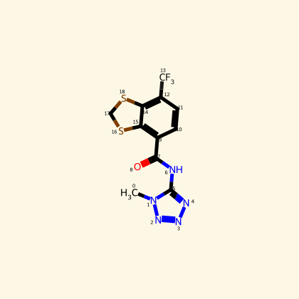 Cn1nnnc1NC(=O)c1ccc(C(F)(F)F)c2c1SCS2